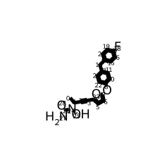 CC(C#Cc1ccc(Oc2ccc(Cc3ccc(F)cc3)cc2)o1)N(O)C(N)=O